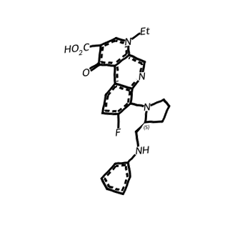 CCn1cc(C(=O)O)c(=O)c2c3ccc(F)c(N4CCC[C@H]4CNc4ccccc4)c3ncc21